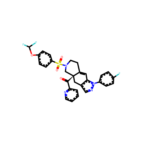 O=C(c1ccccn1)[C@]12Cc3cnn(-c4ccc(F)cc4)c3C=C1CCN(S(=O)(=O)c1ccc(OC(F)F)cc1)C2